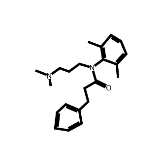 Cc1cccc(C)c1N(CCCN(C)C)C(=O)CCc1ccccc1